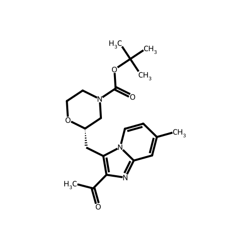 CC(=O)c1nc2cc(C)ccn2c1C[C@H]1CN(C(=O)OC(C)(C)C)CCO1